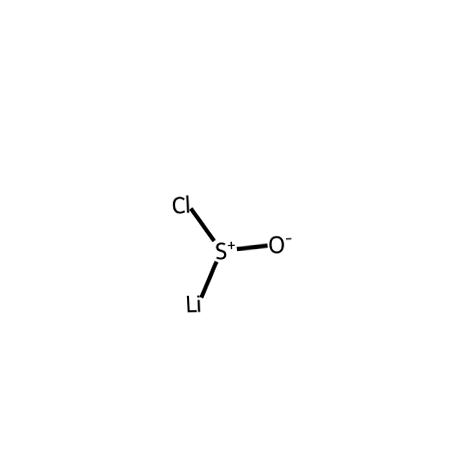 [Li][S+]([O-])Cl